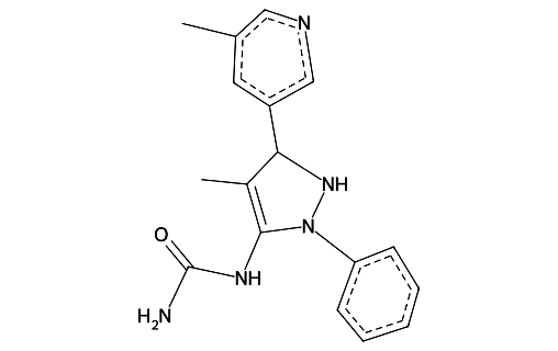 CC1=C(NC(N)=O)N(c2ccccc2)NC1c1cncc(C)c1